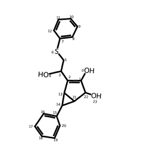 OC1=C(C(O)CSc2ccccc2)C2C(c3ccccc3)C2C1O